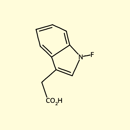 O=C(O)Cc1cn(F)c2ccccc12